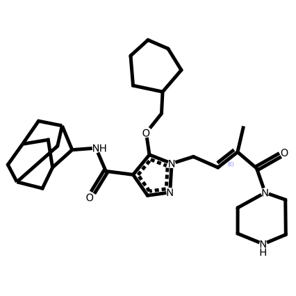 C/C(=C\Cn1ncc(C(=O)NC2C3CC4CC(C3)CC2C4)c1OCC1CCCCC1)C(=O)N1CCNCC1